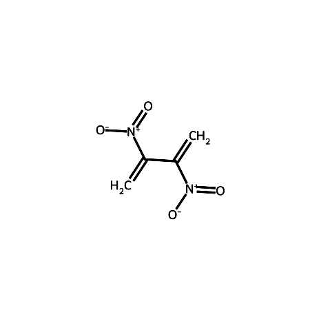 C=C(C(=C)[N+](=O)[O-])[N+](=O)[O-]